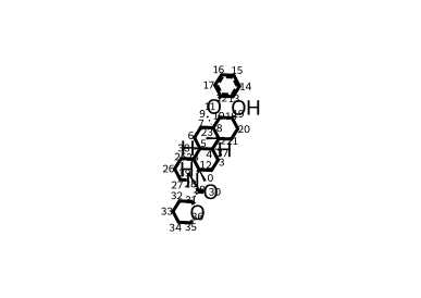 C[C@]12CC[C@H]3[C@@H](CC[C@@]4(C)[C@H](Oc5ccccc5)[C@@H](O)CC[C@]34C)[C@@H]1CCCN2C(=O)[C@H]1CCCCO1